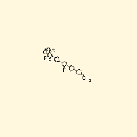 C=CC1CCC(C2CC=C(c3ccc(-c4ccc(-c5ccc(OCCCCCCCC)c(F)c5F)cc4)cc3F)CC2)CC1